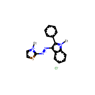 CCn1c(-c2ccccc2)c(/N=N/c2scc[n+]2CC)c2ccccc21.[Cl-]